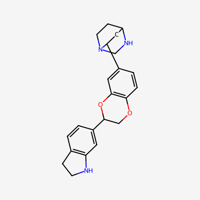 c1cc2c(cc1C1COc3ccc(C4CC5CCN4CN5)cc3O1)NCC2